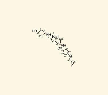 Cn1c(CN[C@H]2CC[C@H](O)CC2)cc2cc(NC(=O)c3ccc(OCC4CC4)cc3)ccc21